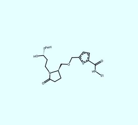 CCCCC[C@@H](O)CCN1C(=O)CC[C@@H]1COCc1ccc(C(=O)NCC)s1